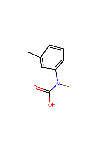 Cc1cccc(N(Br)C(=O)O)c1